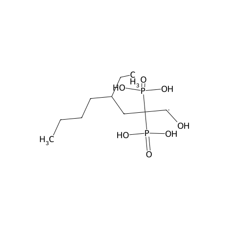 CCCCC(CC)CC([CH]O)(P(=O)(O)O)P(=O)(O)O